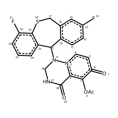 CC(=O)Oc1c2n(ccc1=O)N(C1c3ccc(F)cc3CSc3c(F)cccc31)CNC2=O